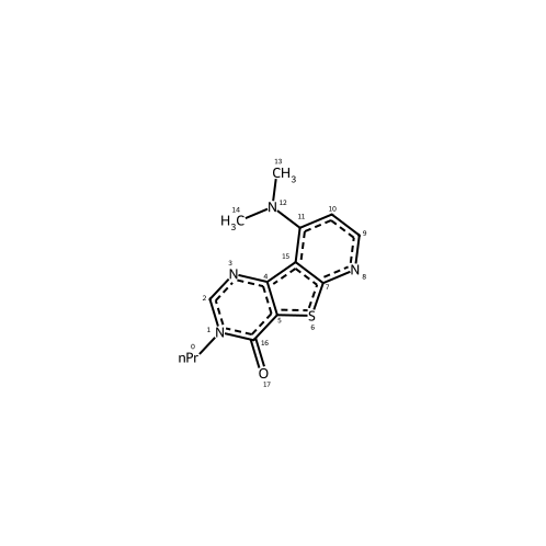 CCCn1cnc2c(sc3nccc(N(C)C)c32)c1=O